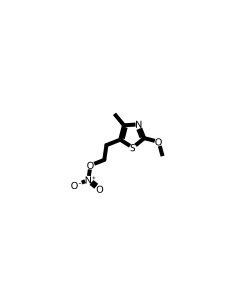 COc1nc(C)c(CCO[N+](=O)[O-])s1